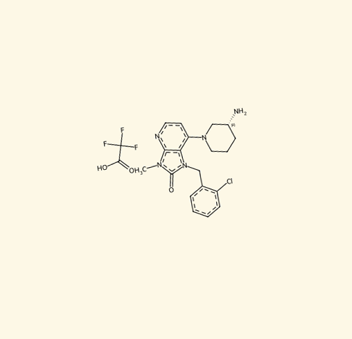 Cn1c(=O)n(Cc2ccccc2Cl)c2c(N3CCC[C@@H](N)C3)ccnc21.O=C(O)C(F)(F)F